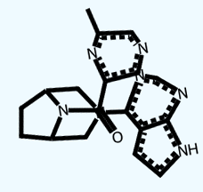 Cc1cncc(C(=O)N2C3CCC2CN(c2ncnc4[nH]ccc24)C3)n1